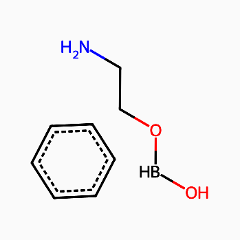 NCCOBO.c1ccccc1